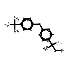 CC(C)(C)c1ccc(Cc2ccc(C(C)(C)CS)cc2)cc1